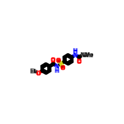 CCOc1ccc(C(=O)NS(=O)(=O)c2ccc(NC(=O)NC)cc2)cc1